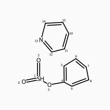 O=[SH](=O)Oc1ccccc1.c1ccncc1